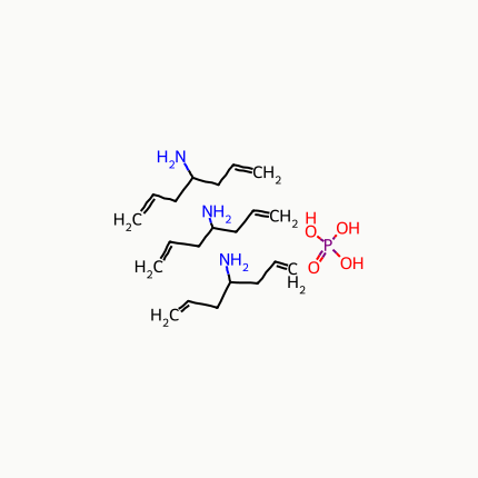 C=CCC(N)CC=C.C=CCC(N)CC=C.C=CCC(N)CC=C.O=P(O)(O)O